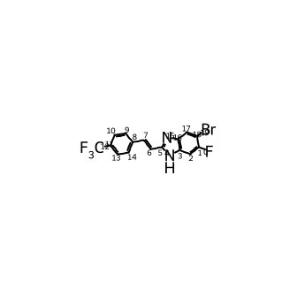 Fc1cc2[nH]c(C=Cc3ccc(C(F)(F)F)cc3)nc2cc1Br